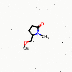 CN1C(=O)CCC1COC(C)(C)C